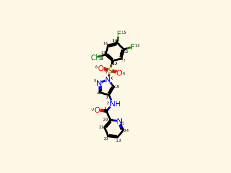 O=C(Nc1cnn(S(=O)(=O)c2cc(F)c(F)cc2Cl)c1)c1ccccn1